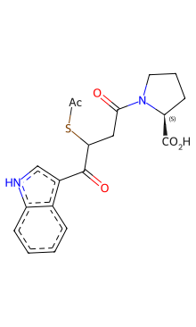 CC(=O)SC(CC(=O)N1CCC[C@H]1C(=O)O)C(=O)c1c[nH]c2ccccc12